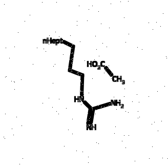 CC(=O)O.CCCCCCCCCCNC(=N)N